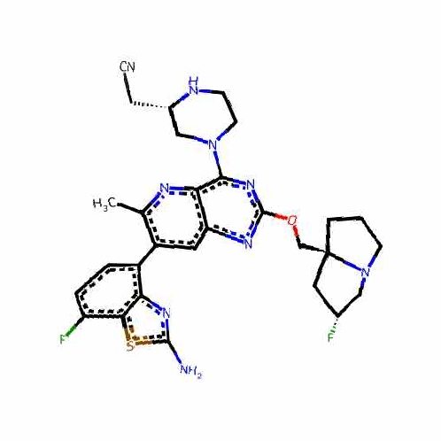 Cc1nc2c(N3CCN[C@@H](CC#N)C3)nc(OC[C@@]34CCCN3C[C@H](F)C4)nc2cc1-c1ccc(F)c2sc(N)nc12